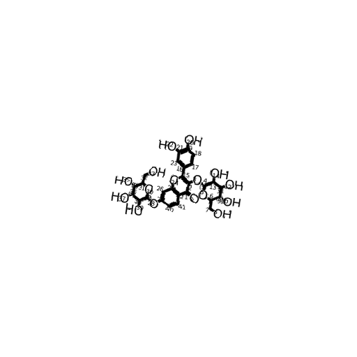 O=c1c(O[C@@H]2OC(CO)[C@@H](O)C(O)C2O)c(-c2ccc(O)c(O)c2)oc2cc(O[C@@H]3OC(CO)[C@@H](O)[C@H](O)C3O)ccc12